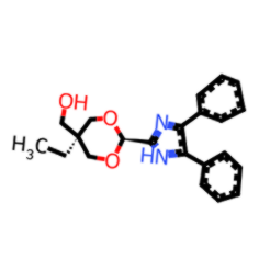 CC[C@]1(CO)CO[C@@H](c2nc(-c3ccccc3)c(-c3ccccc3)[nH]2)OC1